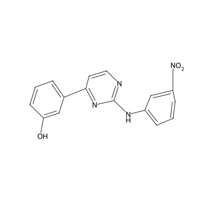 O=[N+]([O-])c1cccc(Nc2nccc(-c3cccc(O)c3)n2)c1